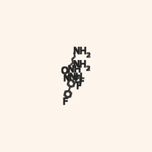 NCCC[C@H](N)CNC(=O)c1nc2cc(-c3ccc(F)cc3)cc(C(F)(F)F)c2[nH]1